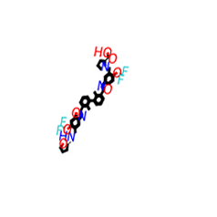 Cc1c(-c2nc3cc(CNC[C@@H]4CCCO4)c(OC(F)F)cc3o2)cccc1-c1cccc(-c2nc3cc(CN4CCC[C@H]4C(=O)O)c(OC(F)F)cc3o2)c1C